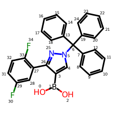 OB(O)c1cn(C(c2ccccc2)(c2ccccc2)c2ccccc2)nc1-c1cc(F)ccc1F